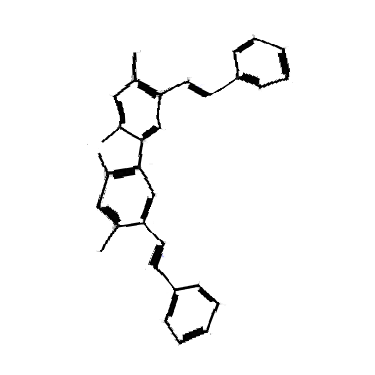 Cc1cc2sc3cc(C)c(/C=C/c4ccccc4)cc3c2cc1/C=C/c1ccccc1